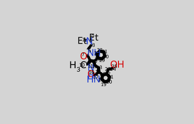 CCN(CC)CCNC(=O)c1c(C)[nH]c(C=C2C(=O)Nc3cccc(CCO)c32)c1-c1ccccc1